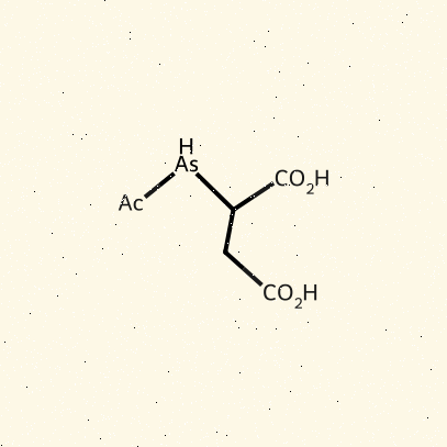 CC(=O)[AsH]C(CC(=O)O)C(=O)O